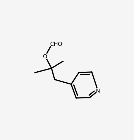 CC(C)(Cc1ccncc1)O[C]=O